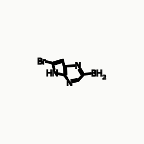 Bc1cnc2[nH]c(Br)cc2n1